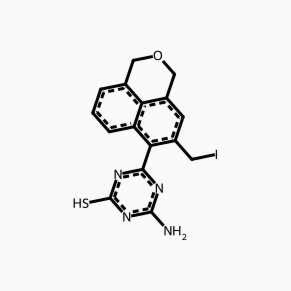 Nc1nc(S)nc(-c2c(CI)cc3c4c(cccc24)COC3)n1